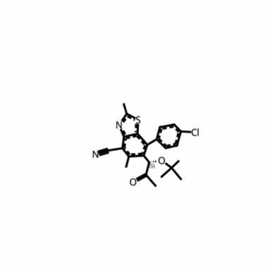 CC(=O)[C@@H](OC(C)(C)C)c1c(C)c(C#N)c2nc(C)sc2c1-c1ccc(Cl)cc1